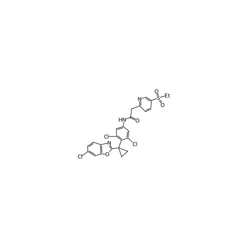 CCS(=O)(=O)c1ccc(CC(=O)Nc2cc(Cl)c(C3(c4nc5ccc(Cl)cc5o4)CC3)c(Cl)c2)nc1